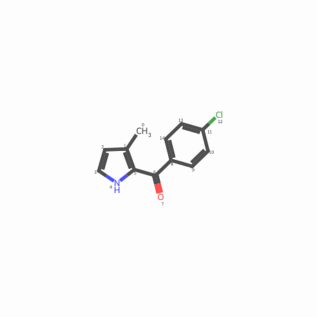 Cc1cc[nH]c1C(=O)c1ccc(Cl)cc1